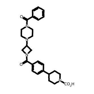 O=C(O)N1CCC(c2ccc(C(=O)N3CC(N4CCN(C(=O)c5ccccc5)CC4)C3)cc2)CC1